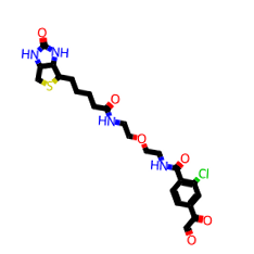 O=CC(=O)c1ccc(C(=O)NCCOCCNC(=O)CCCCC2SCC3NC(=O)NC32)c(Cl)c1